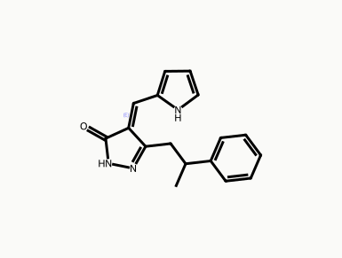 CC(CC1=NNC(=O)/C1=C/c1ccc[nH]1)c1ccccc1